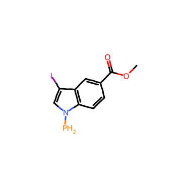 COC(=O)c1ccc2c(c1)c(I)cn2P